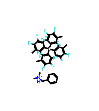 C[NH+](C)Cc1ccccc1.Cc1c(F)c(F)c(F)c([B-](c2c(F)c(C)c(F)c(F)c2F)(c2c(F)c(C)c(F)c(F)c2F)c2c(F)c(C)c(F)c(F)c2F)c1F